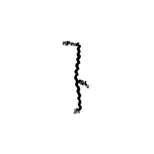 CCCCCC=CCC=CCCCCCCCC(N)CCCCCCCCC(C)C